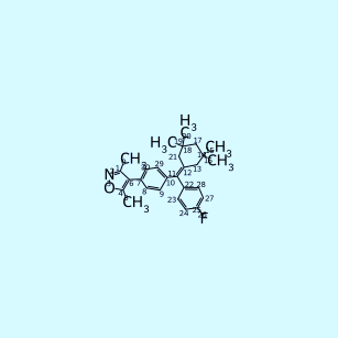 Cc1noc(C)c1-c1ccc(C(=C2CC(C)(C)CC(C)(C)C2)c2ccc(F)cc2)cc1